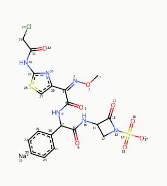 CO/N=C(\C(=O)NC(C(=O)NC1CN(S(=O)(=O)[O-])C1=O)c1ccccc1)c1csc(NC(=O)CCl)n1.[Na+]